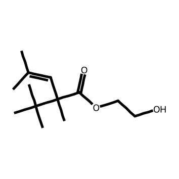 CC(C)=CC(C)(C(=O)OCCO)C(C)(C)C